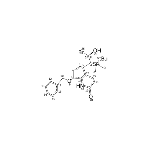 CC(C)(C)[Si](C)(C)C(c1ccc(OCc2ccccc2)c2[nH]c(=O)ccc12)[C@H](O)Br